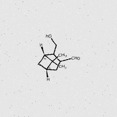 CC1(C)[C@@H]2CC(C=O)C(CO)[C@H]1C2